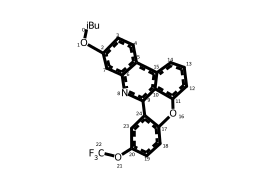 CCC(C)Oc1ccc2c(c1)nc1c3c(cccc32)Oc2ccc(OC(F)(F)F)cc2-1